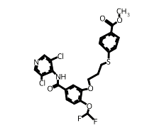 COC(=O)c1ccc(SCCCOc2cc(C(=O)Nc3c(Cl)cncc3Cl)ccc2OC(F)F)cc1